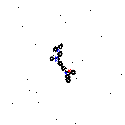 c1ccc(-c2nc(-c3ccc(-c4ccc(-c5nc6cc7ccccc7cc6c6c5oc5ccccc56)cc4)cc3)cc(-c3cccc(-n4c5ccccc5c5ccccc54)c3)n2)cc1